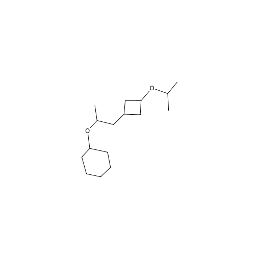 CC(C)OC1CC(CC(C)OC2CCCCC2)C1